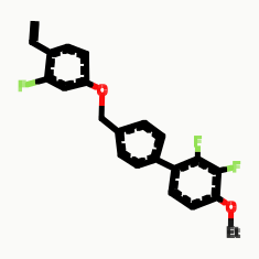 C=Cc1ccc(OCc2ccc(-c3ccc(OCC)c(F)c3F)cc2)cc1F